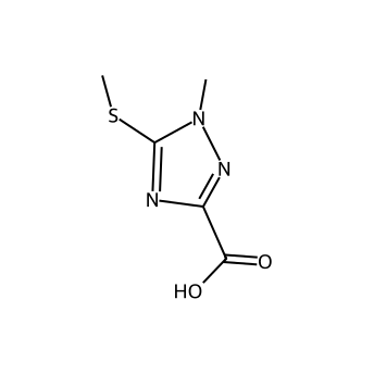 CSc1nc(C(=O)O)nn1C